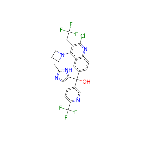 Cc1ncc(C(O)(c2ccc(C(F)(F)F)nc2)c2ccc3nc(Cl)c(CC(F)(F)F)c(N4CCC4)c3c2)[nH]1